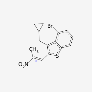 C/C(=C\c1sc2cccc(Br)c2c1CC1CC1)[N+](=O)[O-]